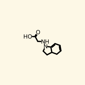 O=C(O)CNN1CCC2CC=CC=C21